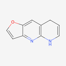 C1=CNc2nc3ccoc3cc2C1